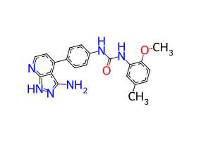 COc1ccc(C)cc1NC(=O)Nc1ccc(-c2ccnc3[nH]nc(N)c23)cc1